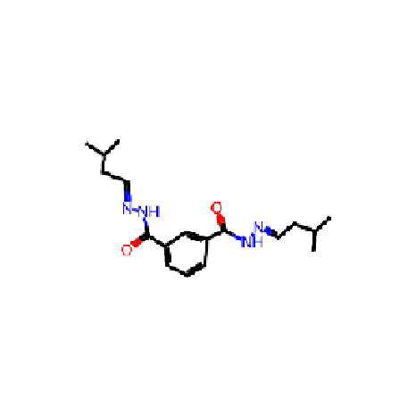 CC(C)CC=NNC(=O)c1cccc(C(=O)N/N=C/CC(C)C)c1